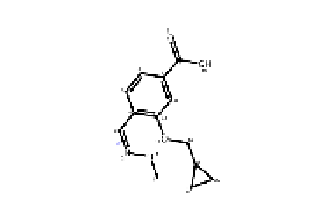 CO/N=C\c1ccc(C(=O)O)cc1OCC1CC1